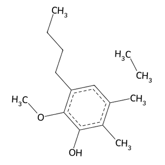 CC.CCCCc1cc(C)c(C)c(O)c1OC